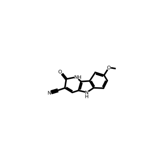 COc1ccc2[nH]c3cc(C#N)c(=O)[nH]c3c2c1